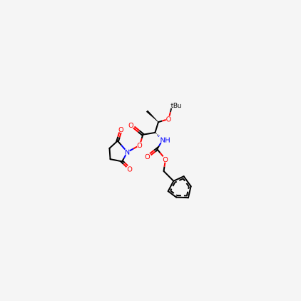 C[C@@H](OC(C)(C)C)[C@H](NC(=O)OCc1ccccc1)C(=O)ON1C(=O)CCC1=O